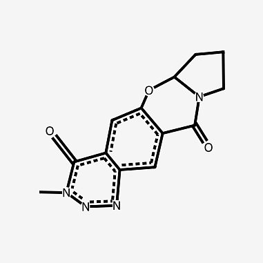 Cn1nnc2cc3c(cc2c1=O)OC1CCCN1C3=O